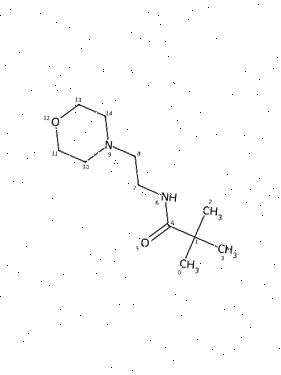 CC(C)(C)C(=O)NCCN1CCOCC1